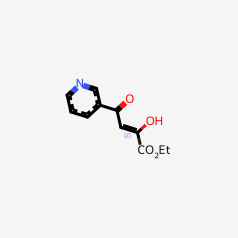 CCOC(=O)/C(O)=C/C(=O)c1cccnc1